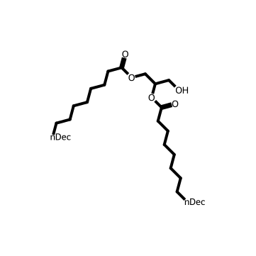 CCCCCCCCCCCCCCCCCC(=O)OCC(CO)OC(=O)CCCCCCCCCCCCCCCCC